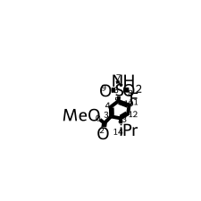 COC(=O)c1cc(S(N)(=O)=O)c(F)cc1C(C)C